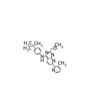 COCc1nc(Nc2ccc(C(C)(C)C)cc2)c2ccc(-c3ncccc3C)nc2n1